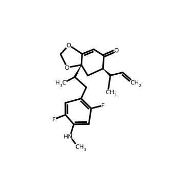 C=CC(C)[C@H]1C[C@]2(C(C)Cc3cc(F)c(NC)cc3F)OCOC2=CC1=O